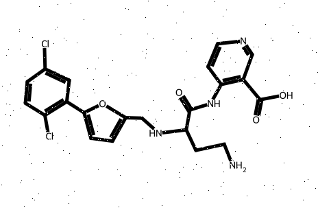 NCCC(NCc1ccc(-c2cc(Cl)ccc2Cl)o1)C(=O)Nc1ccncc1C(=O)O